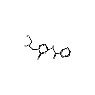 CC[C@@H](CO)Cn1ccc(NC(=O)c2ccccc2)nc1=O